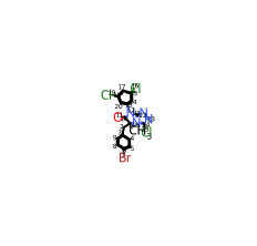 CC1(Cc2ccc(Br)cc2)C(=O)N(c2cc(Cl)cc(Cl)c2)c2nnc(Cl)n21